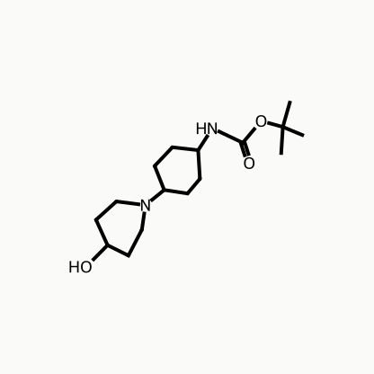 CC(C)(C)OC(=O)NC1CCC(N2CCC(O)CC2)CC1